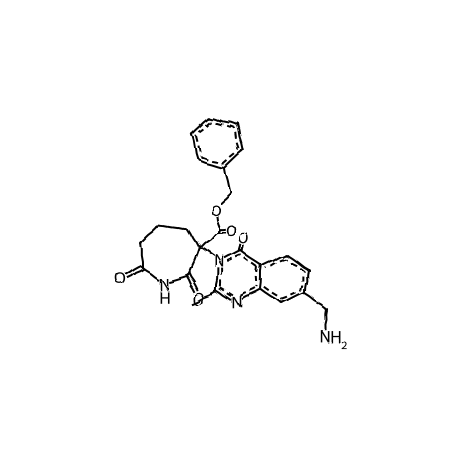 Cc1nc2cc(CN)ccc2c(=O)n1C1(C(=O)OCc2ccccc2)CCCC(=O)NC1=O